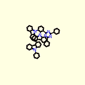 c1ccc(-c2nc(-c3ccccc3)nc(-c3cccc(-n4c5ccccc5c5ccc(-c6cccc7c6c6ccccc6n7-c6ccccc6)cc54)c3-n3c4ccccc4c4ccccc43)n2)cc1